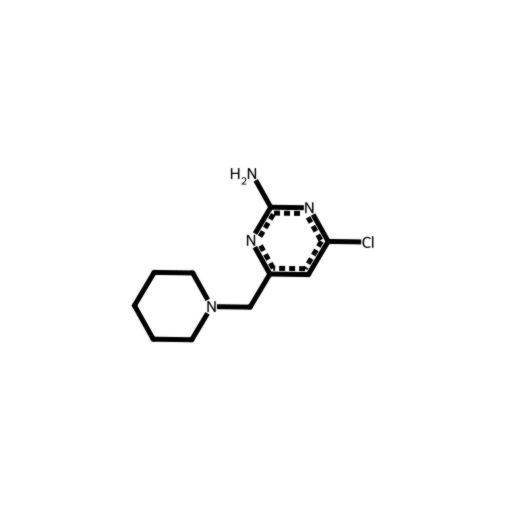 Nc1nc(Cl)cc(CN2CCCCC2)n1